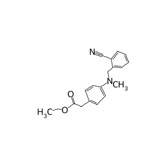 CCOC(=O)Cc1ccc(N(C)Cc2ccccc2C#N)cc1